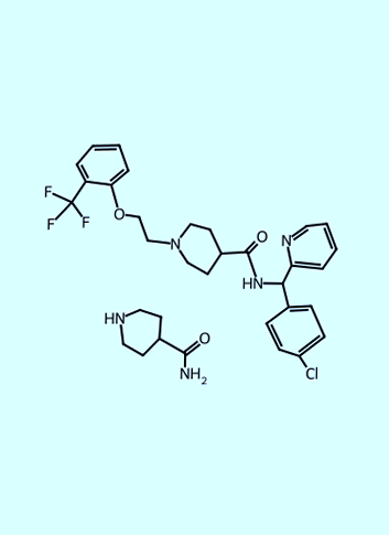 NC(=O)C1CCNCC1.O=C(NC(c1ccc(Cl)cc1)c1ccccn1)C1CCN(CCOc2ccccc2C(F)(F)F)CC1